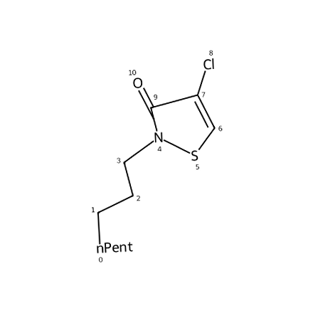 CCCCCCCCn1scc(Cl)c1=O